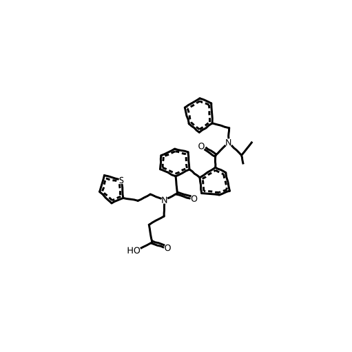 CC(C)N(Cc1ccccc1)C(=O)c1ccccc1-c1ccccc1C(=O)N(CCC(=O)O)CCc1cccs1